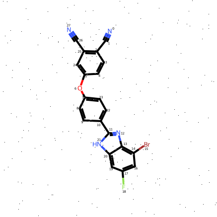 N#Cc1ccc(Oc2ccc(-c3nc4c(Br)cc(F)cc4[nH]3)cc2)cc1C#N